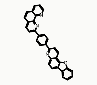 c1cnc2c(c1)ccc1ccc(-c3ccc(-c4ccc5c(ccc6c7ccccc7oc56)n4)cc3)nc12